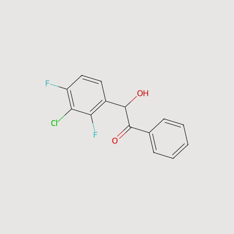 O=C(c1ccccc1)C(O)c1ccc(F)c(Cl)c1F